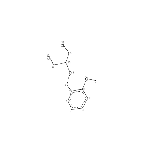 COc1ccccc1COC(CCl)CCl